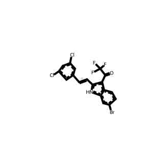 O=C(c1c(/C=C/c2cc(Cl)cc(Cl)c2)[nH]c2cc(Br)ccc12)C(F)(F)F